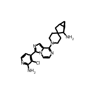 Nc1nccc(-c2ncc3c(N4CCC5(CC4)CC4C6C4C65N)nccn23)c1Cl